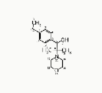 CSc1ccc(C(O)C(C)(C)N2CCOCC2)cc1